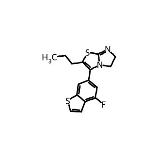 CCCC1=C(c2cc(F)c3ccsc3c2)N2CCN=C2S1